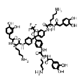 NCCCC[C@@H](NC(=O)Cc1ccc(O)c(O)c1)C(=O)Nc1ccc(C(OC(=O)C(F)(F)F)(c2ccc(NC(=O)[C@@H](CCCCN)NC(=O)Cc3ccc(O)c(O)c3)cc2)c2ccc(NC(=O)[C@@H](CCCCN)NC(=O)Cc3ccc(O)c(O)c3)cc2)cc1